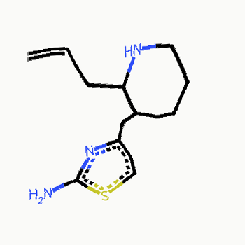 C=CCC1NCCCC1c1csc(N)n1